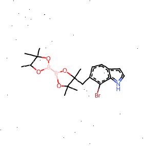 CC1OB(B2OC(C)(C)C(C)(Cc3ccc4cc[nH]c4c3Br)O2)OC1(C)C